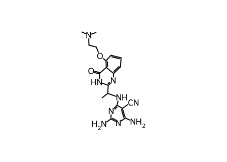 CC(Nc1nc(N)nc(N)c1C#N)c1nc2cccc(OCCN(C)C)c2c(=O)[nH]1